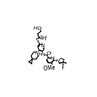 COc1ccc(C(=O)Nc2cnc(SNCCO)cc2N2CCC3(CC2)CC3)nc1N1CCC(C)(F)C1